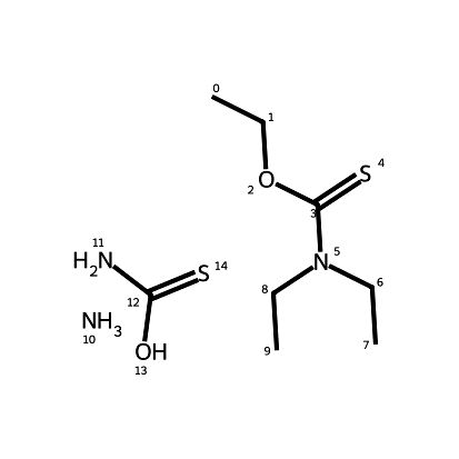 CCOC(=S)N(CC)CC.N.NC(O)=S